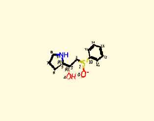 [O-][S+](C[C@H](O)[C@H]1CCCN1)c1ccccc1